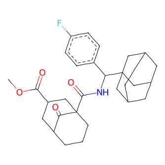 COC(=O)C1CC2CCCC(C(=O)NC(c3ccc(F)cc3)C34CC5CC(CC(C5)C3)C4)(C1)C2=O